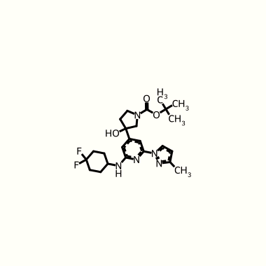 Cc1ccn(-c2cc(C3(O)CCN(C(=O)OC(C)(C)C)C3)cc(NC3CCC(F)(F)CC3)n2)n1